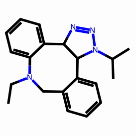 CCN1Cc2ccccc2C2C(N=NN2C(C)C)c2ccccc21